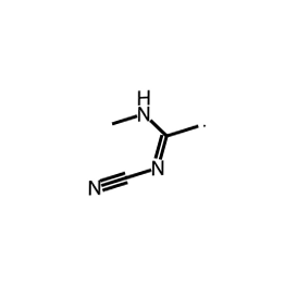 [CH2]C(=NC#N)NC